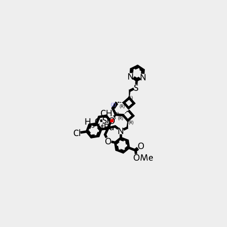 COC(=O)c1ccc2c(c1)N(C[C@@H]1CC[C@H]1[C@H](/C=C\[C@H]1CC[C@@H]1CSc1ncccn1)O[Si](C)(C)C(C)(C)C)CC1(CCCc3cc(Cl)ccc31)CO2